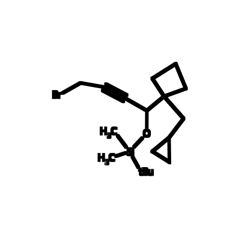 CC(C)(C)[Si](C)(C)OC(C#CCBr)C1(CC2CC2)CCC1